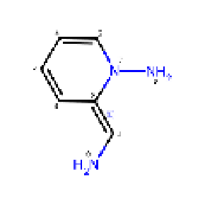 N/C=C1\C=CC=CN1N